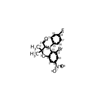 CC1(C)Oc2cc([N+](=O)[O-])cc(Br)c2N(c2ccc(F)cc2)C1C=O